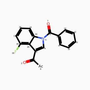 CC(=O)C(=O)c1cn(C(=O)c2ccccc2)c2cccc(F)c12